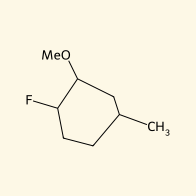 COC1CC(C)CCC1F